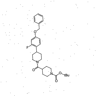 CC(C)(C)OC(=O)N1CCC(C(=O)N2CCC(c3ccc(OCc4ccccc4)cc3F)CC2)CC1